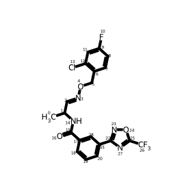 CC(C=NOCc1ccc(F)cc1Cl)NC(=O)c1cccc(-c2noc(C(F)(F)F)n2)c1